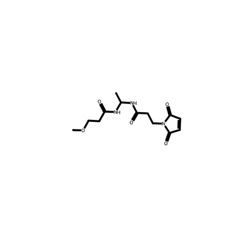 COCCC(=O)NC(C)NC(=O)CCN1C(=O)C=CC1=O